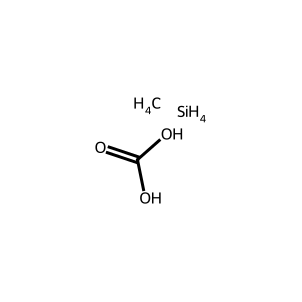 C.O=C(O)O.[SiH4]